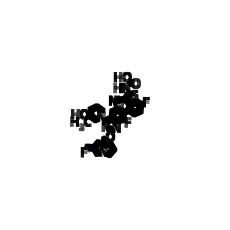 C[C@@]1(O)CCCN(c2nc(OCC34CCCN3C/C(=C\F)C4)nc3c(F)c(-c4ccc(F)c5sc(NC(=O)O)c(C#N)c45)c(Cl)cc23)C1